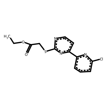 CCOC(=O)CSc1nccc(-c2cccc(Cl)n2)n1